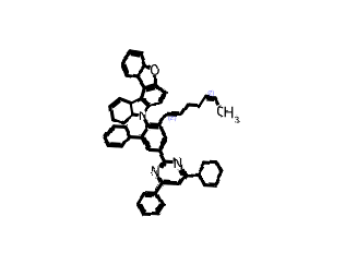 C/C=C\CC/C=C/c1cc(-c2nc(-c3ccccc3)cc(C3CCCCC3)n2)cc(C2C=CC=CC2)c1N1c2ccc3c(c2C2C=CCCC21)C1C=CC=CC1O3